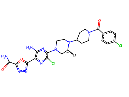 CC[C@H]1CN(c2nc(N)c(-c3nnc(C(N)=O)o3)nc2Cl)CCN1C1CCN(C(=O)c2ccc(Cl)cc2)CC1